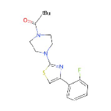 CC(C)(C)C(=O)N1CCN(c2nc(-c3ccccc3F)cs2)CC1